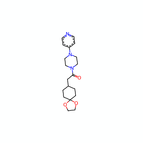 O=C(CC1CCC2(CC1)OCCO2)N1CCN(c2ccncc2)CC1